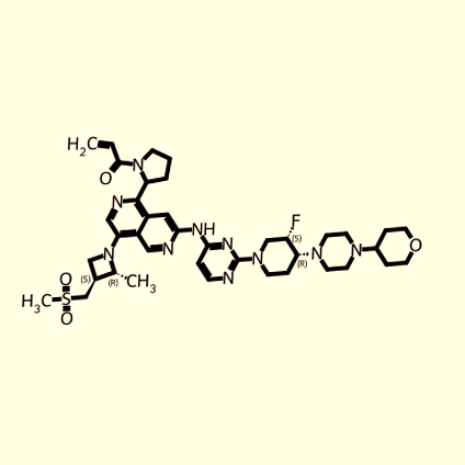 C=CC(=O)N1CCCC1c1ncc(N2C[C@H](CS(C)(=O)=O)[C@H]2C)c2cnc(Nc3ccnc(N4CC[C@@H](N5CCN(C6CCOCC6)CC5)[C@@H](F)C4)n3)cc12